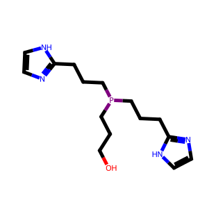 OCCCP(CCCc1ncc[nH]1)CCCc1ncc[nH]1